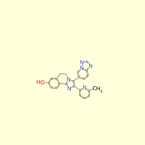 Cc1cccc(-c2nc3n(c2-c2ccc4ncnn4c2)CCc2cc(O)ccc2-3)n1